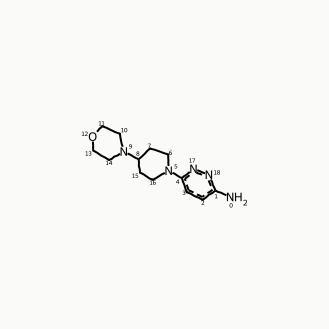 Nc1ccc(N2CCC(N3CCOCC3)CC2)nn1